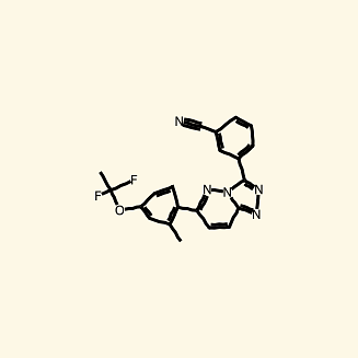 Cc1cc(OC(C)(F)F)ccc1-c1ccc2nnc(-c3cccc(C#N)c3)n2n1